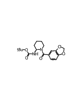 CC(C)(C)OC(=O)NC1CCCCN1C(=O)c1ccc2c(c1)OCO2